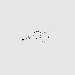 CC(C)(C#N)c1ccc2c(c1)C(C)(C)CCC2(C)C